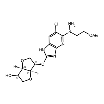 COCCN(N)c1nc2nc(O[C@@H]3CO[C@H]4[C@@H]3OC[C@H]4O)[nH]c2cc1Cl